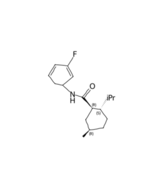 CC(C)[C@@H]1CC[C@@H](C)C[C@H]1C(=O)NC1C=C(F)C=CC1